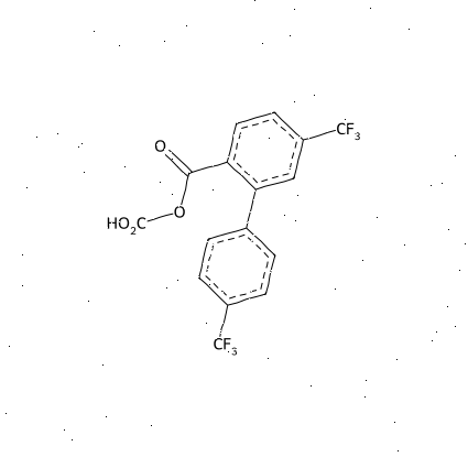 O=C(O)OC(=O)c1ccc(C(F)(F)F)cc1-c1ccc(C(F)(F)F)cc1